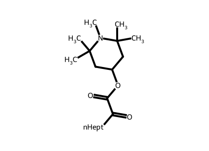 CCCCCCCC(=O)C(=O)OC1CC(C)(C)N(C)C(C)(C)C1